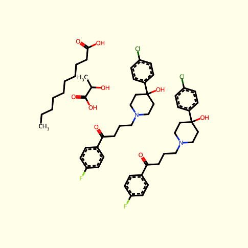 CC(O)C(=O)O.CCCCCCCCCC(=O)O.O=C(CCCN1CCC(O)(c2ccc(Cl)cc2)CC1)c1ccc(F)cc1.O=C(CCCN1CCC(O)(c2ccc(Cl)cc2)CC1)c1ccc(F)cc1